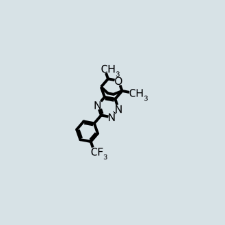 CC1OC2(C)CCC1c1nc(-c3cccc(C(F)(F)F)c3)nnc12